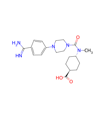 CN(C(=O)N1CCN(c2ccc(C(=N)N)cc2)CC1)[C@H]1CC[C@H](C(=O)O)CC1